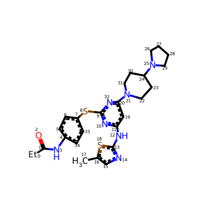 CCC(=O)Nc1ccc(Sc2nc(Nc3ncc(C)s3)cc(N3CCC(N4CCCC4)CC3)n2)cc1